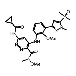 COc1c(Nc2cc(NC(=O)C3CC3)nnc2C(=O)N(C)OC)cccc1-c1cc(P(C)(C)=O)n(C)n1